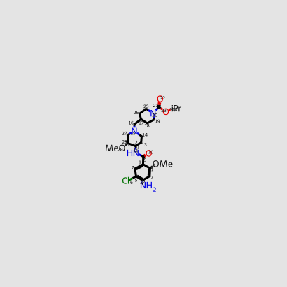 COc1cc(N)c(Cl)cc1C(=O)N[C@@H]1CCN(CC2CCN(C(=O)OC(C)C)CC2)C[C@@H]1OC